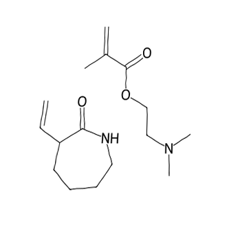 C=C(C)C(=O)OCCN(C)C.C=CC1CCCCNC1=O